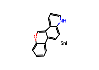 C1=CNc2ccc3c(c2=C1)=COc1ccccc1-3.[Sn]